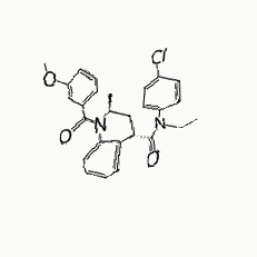 CCN(C(=O)[C@H]1C[C@H](C)N(C(=O)c2cccc(OC)c2)c2ccccc21)c1ccc(Cl)cc1